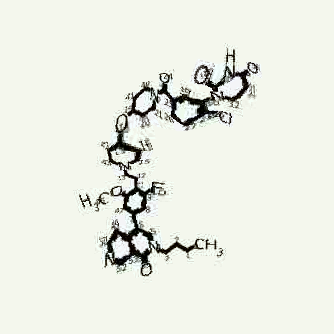 CCCCn1cc(-c2cc(F)c(CCN3CCC(OC4CCN(C(=O)c5ccc(Cl)c(N6CCC(=O)NC6=O)c5)CC4)CC3)c(OC)c2)c2ccncc2c1=O